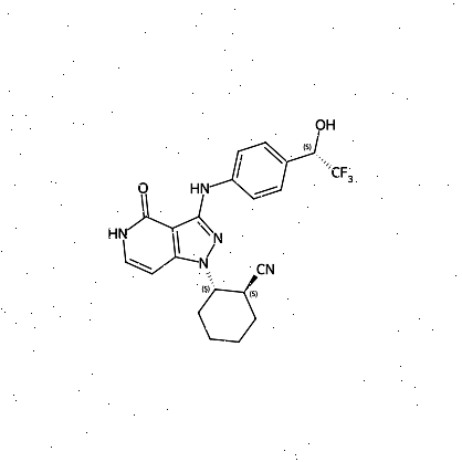 N#C[C@H]1CCCC[C@@H]1n1nc(Nc2ccc([C@H](O)C(F)(F)F)cc2)c2c(=O)[nH]ccc21